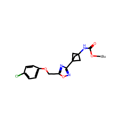 CC(C)(C)OC(=O)NC12CC(c3noc(COc4ccc(Cl)cc4)n3)(C1)C2